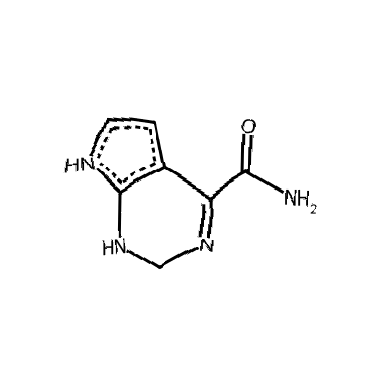 NC(=O)C1=NCNc2[nH]ccc21